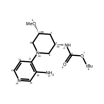 CO[C@@H]1C[C@H](NC(=O)OC(C)(C)C)CN(c2ccncc2N)C1